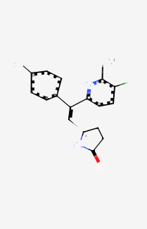 CCc1ccc(C(=C[C@H]2CCC(=O)N2)c2ccc(Cl)c(OC)n2)cc1